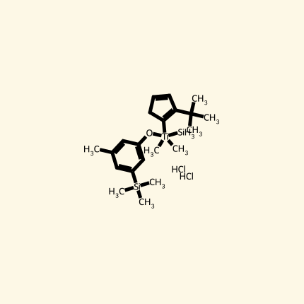 Cc1cc([O][Ti]([CH3])([CH3])([SiH3])[C]2=C(C(C)(C)C)C=CC2)cc([Si](C)(C)C)c1.Cl.Cl